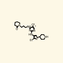 CCc1nn(C2CCNCC2)cc1Nc1ncc(C(F)(F)F)c(NCCCN2CCCCC2=O)n1